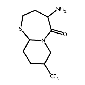 NC1CCSC2CCC(C(F)(F)F)CN2C1=O